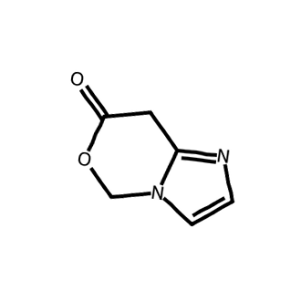 O=C1Cc2nccn2CO1